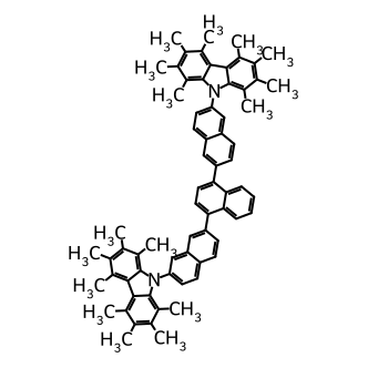 Cc1c(C)c(C)c2c(c1C)c1c(C)c(C)c(C)c(C)c1n2-c1ccc2cc(-c3ccc(-c4ccc5ccc(-n6c7c(C)c(C)c(C)c(C)c7c7c(C)c(C)c(C)c(C)c76)cc5c4)c4ccccc34)ccc2c1